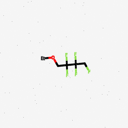 CCOCC(F)(F)C(F)(F)CF